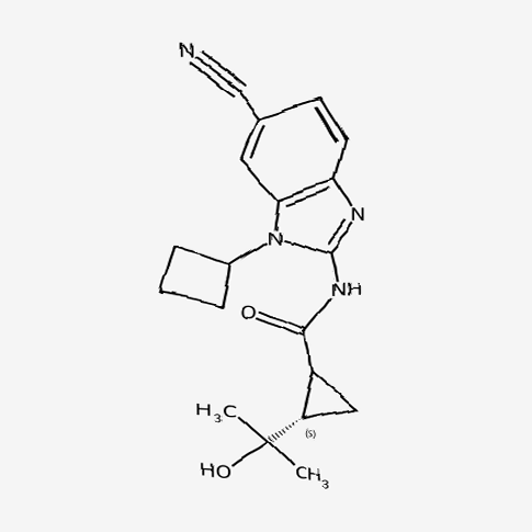 CC(C)(O)[C@H]1CC1C(=O)Nc1nc2ccc(C#N)cc2n1C1CCC1